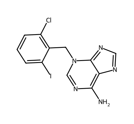 Nc1ncn(Cc2c(Cl)cccc2I)c2ncnc1-2